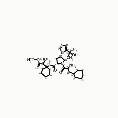 COC(=O)C(O)C1(NC(=O)[C@@H]2C[C@H](n3nncc3C(C)(C)O)CN2C(=O)C(N)CC2CCCCC2)CCCCC1